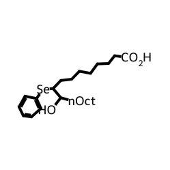 CCCCCCCCC(O)C(CCCCCCCC(=O)O)[Se]c1ccccc1